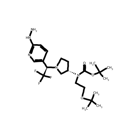 CC(C)(C)OCCN(C(=O)OC(C)(C)C)[C@H]1CCN([C@H](c2ccc(NN)nc2)C(F)(F)F)C1